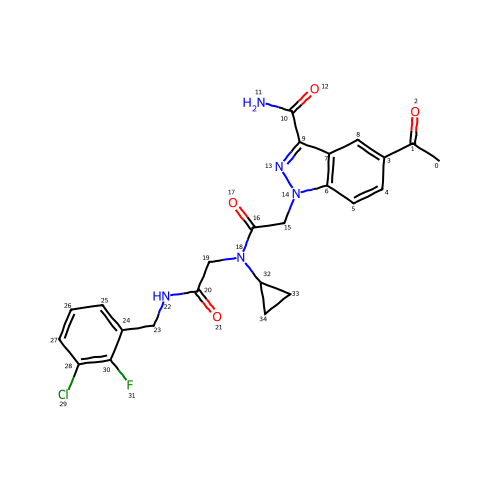 CC(=O)c1ccc2c(c1)c(C(N)=O)nn2CC(=O)N(CC(=O)NCc1cccc(Cl)c1F)C1CC1